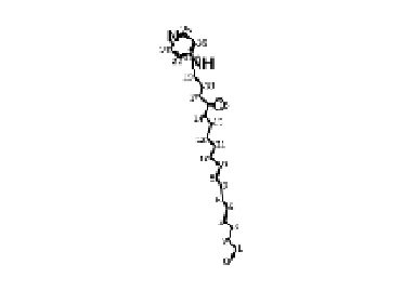 CCCCCCCCCCCCCCCC(=O)CCCNc1ccncc1